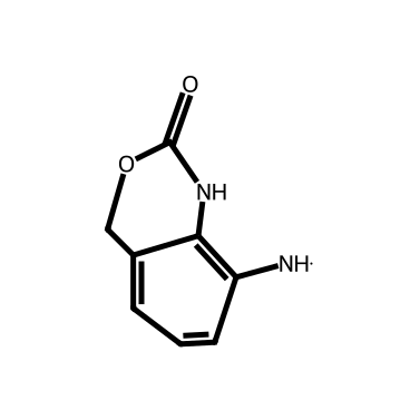 [NH]c1cccc2c1NC(=O)OC2